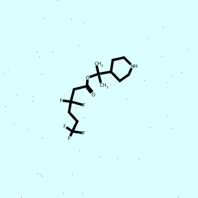 CC(C)(OC(=O)CC(F)(F)CCC(F)(F)F)C1CCNCC1